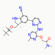 Cc1ncc(Nc2nccc(-c3cc(C#N)c4c(c3)[C@@](C)(CO[Si](C)(C)C(C)(C)C)CN4)n2)c(OCC(=O)N(C)C)n1